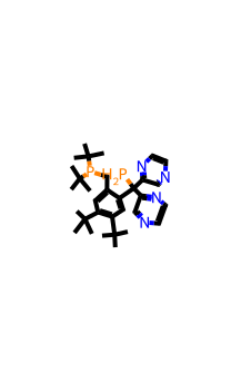 CC(C)(C)c1cc(CP(C(C)(C)C)C(C)(C)C)c(C(P)(c2cnccn2)c2cnccn2)cc1C(C)(C)C